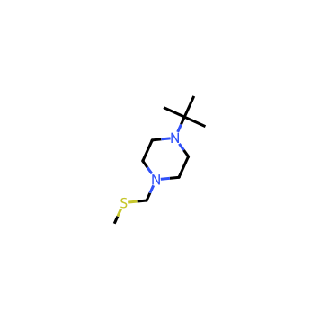 CSCN1CCN(C(C)(C)C)CC1